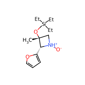 CC[Si](CC)(CC)O[C@]1(C)C[NH+]([O-])[C@@H]1c1ccco1